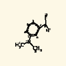 CN(C)c1cccc(C(F)F)c1